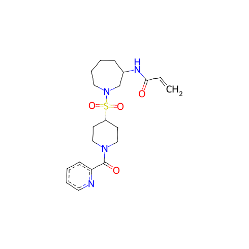 C=CC(=O)NC1CCCCN(S(=O)(=O)C2CCN(C(=O)c3ccccn3)CC2)C1